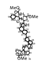 COCC(=O)N[C@@H](C(=O)N1C[C@@H](COC)C[C@H]1c1nc2ccc3cc(-c4ccc5c(ccc6nc([C@@H]7C[C@H](C)CN7C(=O)[C@@H](NC(=O)OC)C(C)C)[nH]c65)c4)ccc3c2[nH]1)c1ccccc1